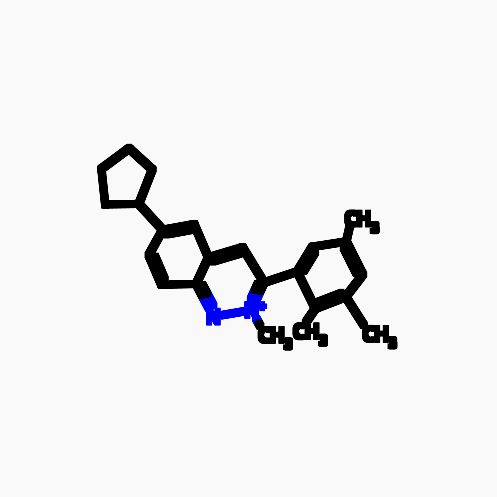 Cc1cc(C)c(C)c(-c2cc3cc(C4CCCC4)ccc3n[n+]2C)c1